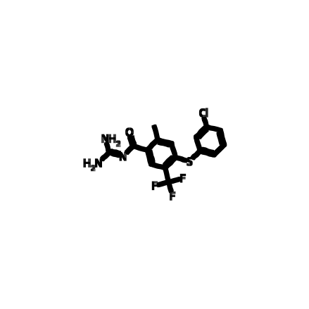 Cc1cc(Sc2cccc(Cl)c2)c(C(F)(F)F)cc1C(=O)N=C(N)N